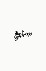 Cn1c(=O)[nH]c2ccc(-c3cnc([C@@H]4CC[C@@H]5CC(c6c(-n7cnnn7)ccc(Cl)c6F)=CC(=O)N54)[nH]3)cc21